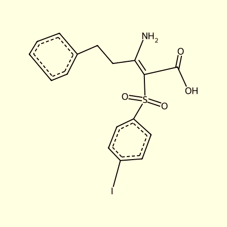 NC(CCc1ccccc1)=C(C(=O)O)S(=O)(=O)c1ccc(I)cc1